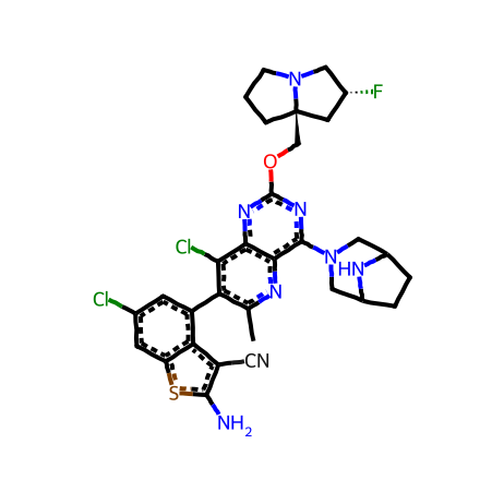 Cc1nc2c(N3CC4CCC(C3)N4)nc(OC[C@@]34CCCN3C[C@H](F)C4)nc2c(Cl)c1-c1cc(Cl)cc2sc(N)c(C#N)c12